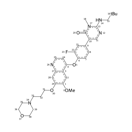 COc1cc2c(Oc3ccc(-c4cnc(NCC(C)(C)C)n(C)c4=O)cc3F)ccnc2cc1OCCCN1CCOCC1